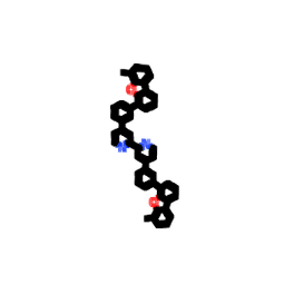 Cc1cccc2c1oc1c(-c3cccc(-c4ccnc(-c5cc(-c6cccc(-c7cccc8c7oc7c(C)cccc78)c6)ccn5)c4)c3)cccc12